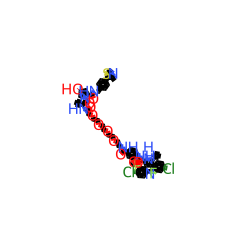 COc1cc(C(=O)NCCOCCOCCOCCOCC(=O)N[C@H](C(=O)N2C[C@H](O)C[C@H]2C(=O)NCc2ccc(-c3scnc3C)cc2)C(C)(C)C)ccc1NC(=O)[C@H]1N[C@H](CC(C)(C)C)[C@@](C#N)(c2ccc(Cl)cc2F)[C@@H]1c1cccc(Cl)c1F